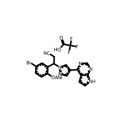 COc1ccc(Br)cc1C(CC#N)n1cc(-c2ncnc3[nH]ccc23)cn1.O=C(O)C(F)(F)F